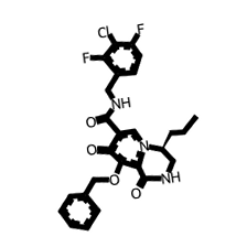 CCC[C@H]1CNC(=O)c2c(OCc3ccccc3)c(=O)c(C(=O)NCc3ccc(F)c(Cl)c3F)cn21